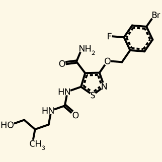 CC(CO)CNC(=O)Nc1snc(OCc2ccc(Br)cc2F)c1C(N)=O